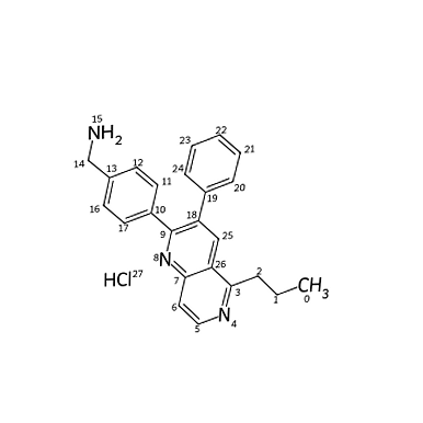 CCCc1nccc2nc(-c3ccc(CN)cc3)c(-c3ccccc3)cc12.Cl